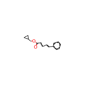 O=C(C=CC=Cc1ccccc1)OCC1CC1